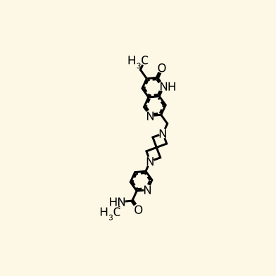 CCc1cc2cnc(CN3CC4(C3)CN(c3ccc(C(=O)NC)nc3)C4)cc2[nH]c1=O